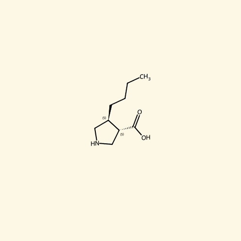 CCCC[C@@H]1CNC[C@H]1C(=O)O